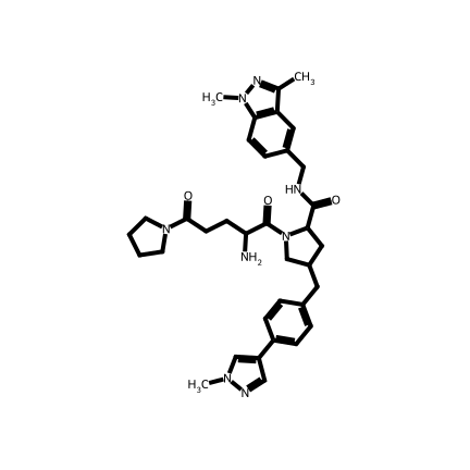 Cc1nn(C)c2ccc(CNC(=O)C3CC(Cc4ccc(-c5cnn(C)c5)cc4)CN3C(=O)C(N)CCC(=O)N3CCCC3)cc12